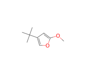 COc1cc(C(C)(C)C)co1